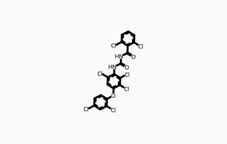 O=C(NC(=O)c1c(Cl)cccc1Cl)Nc1c(Cl)cc(Oc2ccc(Cl)cc2Cl)c(Cl)c1Cl